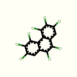 Clc1[c]c2c(Cl)c(Cl)c3[c]c(Cl)c(Cl)c(Cl)c3c2c(Cl)c1Cl